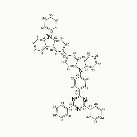 C1=CC(n2c3ccccc3c3cc(-c4ccc5c(c4)c4ccccc4n5-c4ccc(-c5nc(-c6ccccc6)nc(-c6ccccc6)n5)cc4)ccc32)=CCC1